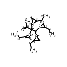 CCC1CN1C(N1CC1CC)C(C(=O)O)(N1CC1CC)N1CC1CC